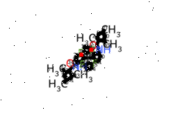 Cc1cc(C)c(C(=O)Nc2ccc(F)[c]([Ti]([C]3=CC=CC3)([C]3=CC=CC3)[c]3c(F)ccc(NC(=O)c4c(C)cc(C)cc4C)c3F)c2F)c(C)c1